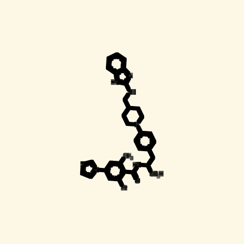 CCc1cc(-n2ccnc2)cc(C)c1C(=O)NC(Cc1ccc(N2CCC(CNc3nc4ccccc4[nH]3)CC2)cc1)C(=O)O